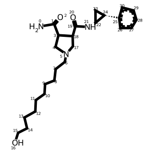 NC(=O)C1CN(CCCCCCCCCCO)CC1C(=O)N[C@H]1C[C@@H]1c1ccccc1